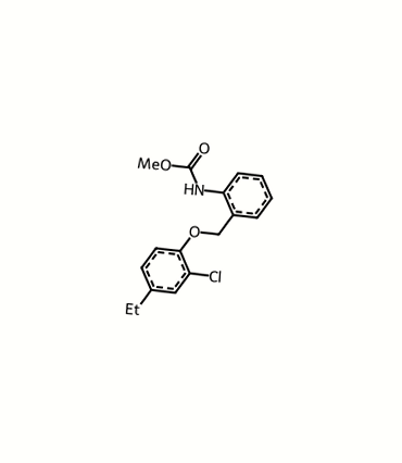 CCc1ccc(OCc2ccccc2NC(=O)OC)c(Cl)c1